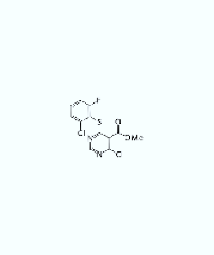 COC(=O)c1c(Cl)ncnc1Sc1c(F)cccc1Cl